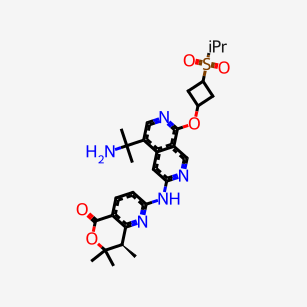 CC(C)S(=O)(=O)C1CC(Oc2ncc(C(C)(C)N)c3cc(Nc4ccc5c(n4)[C@@H](C)C(C)(C)OC5=O)ncc23)C1